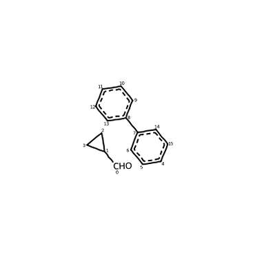 O=CC1CC1.c1ccc(-c2ccccc2)cc1